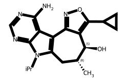 CC(C)n1c2c(c3c(N)ncnc31)-c1noc(C3CC3)c1[C@@H](O)[C@H](C)C2